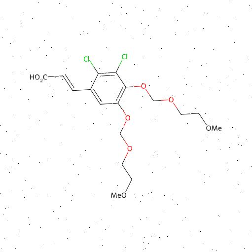 COCCOCOc1cc(C=CC(=O)O)c(Cl)c(Cl)c1OCOCCOC